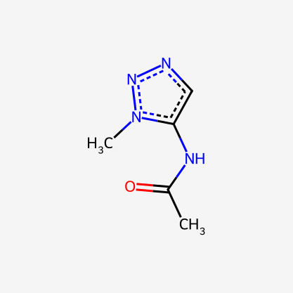 CC(=O)Nc1cnnn1C